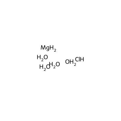 Cl.O.O.O.O.[MgH2]